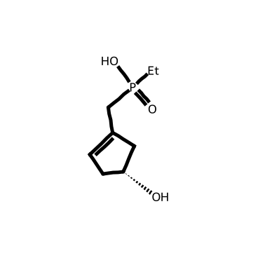 CCP(=O)(O)CC1=CC[C@@H](O)C1